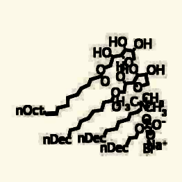 CCCCCCCC/C=C\CCCCCCCC(=O)OC[C@@H](O)[C@H]1OC[C@H](O)[C@H]1O.CCCCCCCCCCCCCCCCCC(=O)OC[C@@H](O)[C@H]1OC[C@H](O)[C@H]1O.CCCCCCCCCCCCCCCC[N+](C)(C)C.CCCCCCCCCCCCOS(=O)(=O)[O-].[Br-].[Na+]